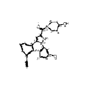 C#Cc1cccc(-c2cc(C(=O)N3CCC(O)CC3)nn2-c2cccc(Cl)c2)c1